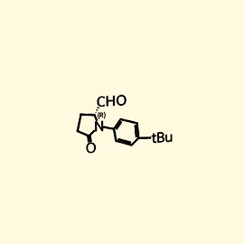 CC(C)(C)c1ccc(N2C(=O)CC[C@@H]2C=O)cc1